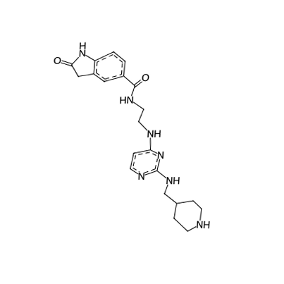 O=C1Cc2cc(C(=O)NCCNc3ccnc(NCC4CCNCC4)n3)ccc2N1